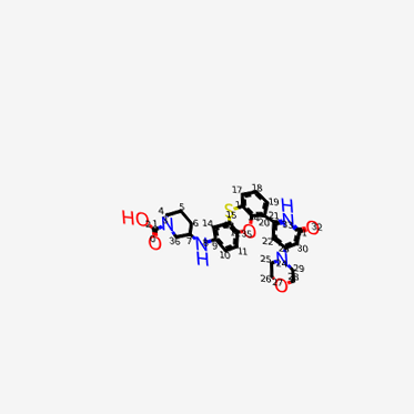 O=C(O)N1CCCC(Nc2ccc3c(c2)Sc2cccc(-c4cc(N5CCOCC5)cc(=O)[nH]4)c2O3)C1